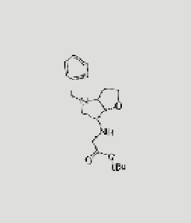 CC(C)(C)OC(=O)CNC1CN(Cc2ccccc2)C2CCOC12